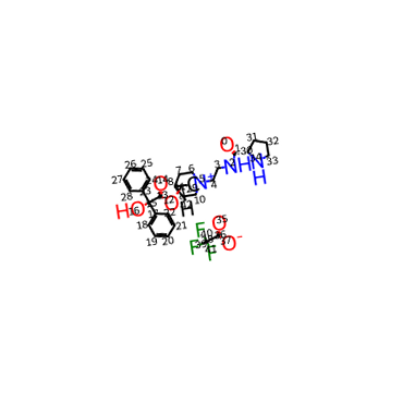 O=C(NCC[N+]12CCC(CC1)[C@@H](OC(=O)C(O)(c1ccccc1)c1ccccc1)C2)[C@@H]1CCCN1.O=C([O-])C(F)(F)F